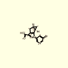 O=C(O)c1nn(-c2cncc(Br)c2)c2c1C[C@H]1C[C@@H]21